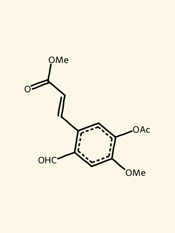 COC(=O)C=Cc1cc(OC(C)=O)c(OC)cc1C=O